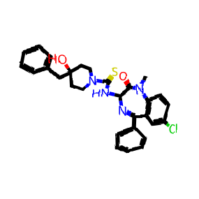 CN1C(=O)C(NC(=S)N2CCC(O)(Cc3ccccc3)CC2)N=C(c2ccccc2)c2cc(Cl)ccc21